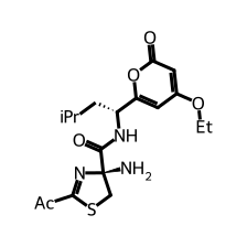 CCOc1cc([C@@H](CC(C)C)NC(=O)[C@]2(N)CSC(C(C)=O)=N2)oc(=O)c1